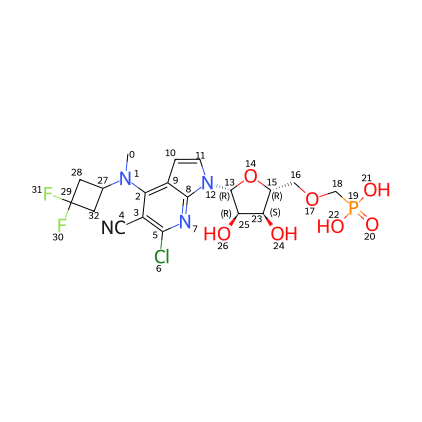 CN(c1c(C#N)c(Cl)nc2c1ccn2[C@@H]1O[C@H](COCP(=O)(O)O)[C@@H](O)[C@H]1O)C1CC(F)(F)C1